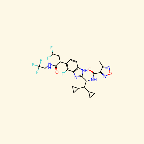 Cc1nonc1C(=O)N[C@@H](c1nc2c(F)c([C@H](CC(F)F)C(=O)NCC(F)(F)F)ccc2[nH]1)C(C1CC1)C1CC1